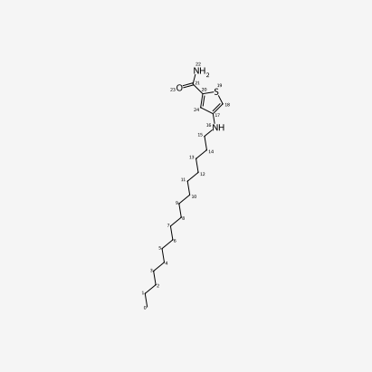 CCCCCCCCCCCCCCCCNc1csc(C(N)=O)c1